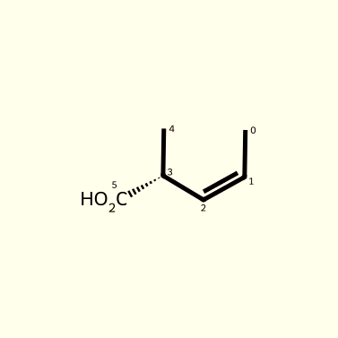 C/C=C\[C@@H](C)C(=O)O